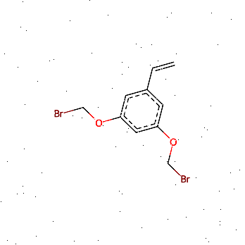 C=Cc1cc(OCBr)cc(OCBr)c1